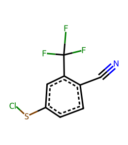 N#Cc1ccc(SCl)cc1C(F)(F)F